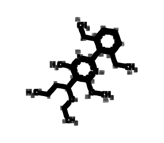 CCCC(OCC)c1c(C)nc(-c2c(CC)cccc2CC)nc1OC